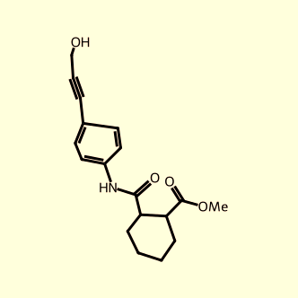 COC(=O)C1CCCCC1C(=O)Nc1ccc(C#CCO)cc1